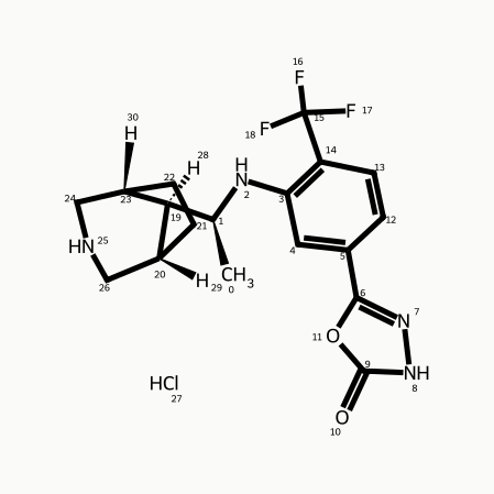 C[C@H](Nc1cc(-c2n[nH]c(=O)o2)ccc1C(F)(F)F)[C@H]1[C@@H]2CC[C@H]1CNC2.Cl